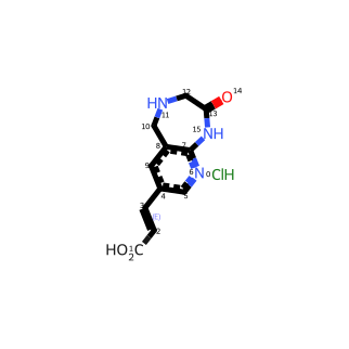 Cl.O=C(O)/C=C/c1cnc2c(c1)CNCC(=O)N2